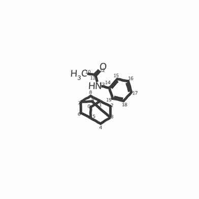 C1C2CC3CC1CC(C2)C3.CC(=O)Nc1ccccc1